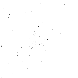 CO[C@@H]1C[C@H](C(=O)N(c2ccc(S(F)(F)(F)(F)F)cc2)C(C(=O)NC2CCC(F)(F)CC2)c2cccnc2)N(C(=O)OC(C)(C)C)C1